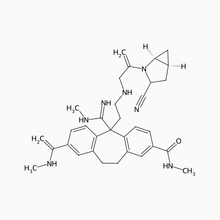 C=C(NC)c1ccc2c(c1)CCc1cc(C(=O)NC)ccc1C2(CCNCC(=C)N1C(C#N)C[C@@H]2C[C@@H]21)C(=N)NC